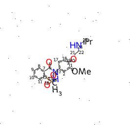 COc1cc(NC(=O)c2ccccc2S(C)(=O)=O)ccc1OCCNC(C)C